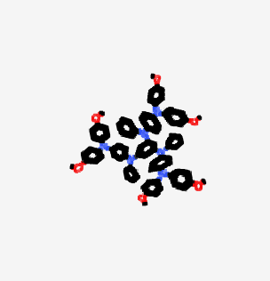 COc1ccc(N(c2ccc(OC)cc2)c2ccc(N(c3ccccc3)c3cc(N(c4ccccc4)c4ccc(N(c5ccc(OC)cc5)c5ccc(OC)cc5)cc4)cc(N(c4ccccc4)c4ccc(N(c5ccc(OC)cc5)c5ccc(OC)cc5)cc4)c3)cc2)cc1